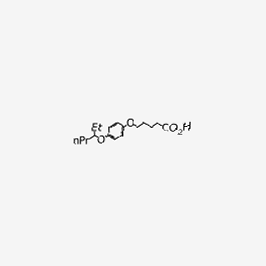 CCCC(CC)Oc1ccc(OCCCCC(=O)O)cc1